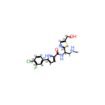 CNCC(NC(=O)c1ccc(-c2ccc(Cl)c(F)c2)[nH]1)c1ncc(CO)s1